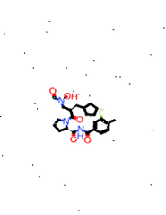 Cc1ccc(C(=O)NC(=O)[C@@H]2CCCN2C(=O)[C@H](CC2CCCC2)CN(O)C=O)cc1F